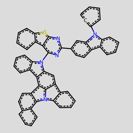 c1ccc(-n2c3ccccc3c3ccc(-c4nc(-n5c6ccccc6c6c7c8ccc9ccccc9c8n8c9ccccc9c(cc65)c78)c5c(n4)sc4ccccc45)cc32)cc1